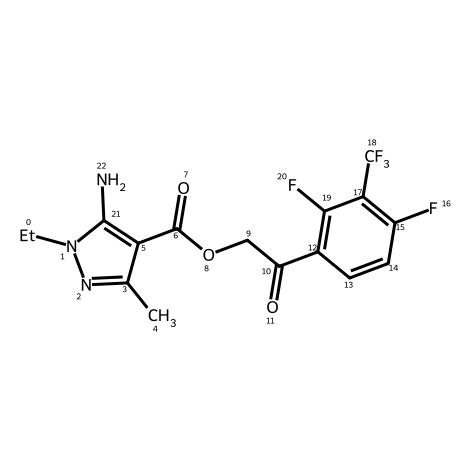 CCn1nc(C)c(C(=O)OCC(=O)c2ccc(F)c(C(F)(F)F)c2F)c1N